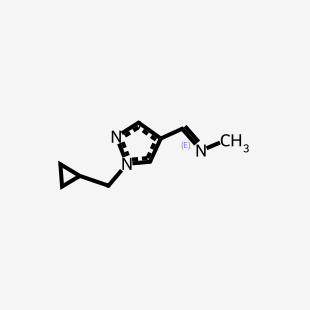 C/N=C/c1cnn(CC2CC2)c1